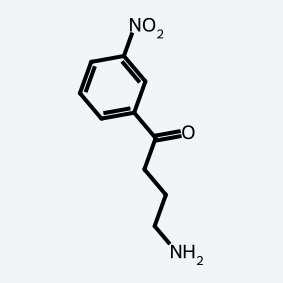 NCCCC(=O)c1cccc([N+](=O)[O-])c1